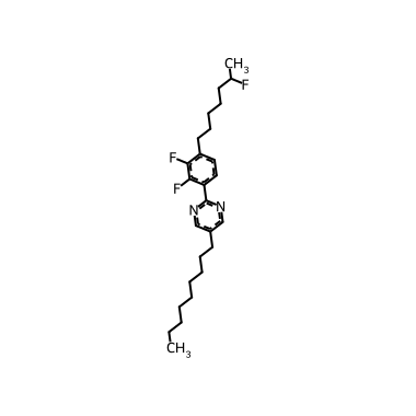 CCCCCCCCCc1cnc(-c2ccc(CCCCCC(C)F)c(F)c2F)nc1